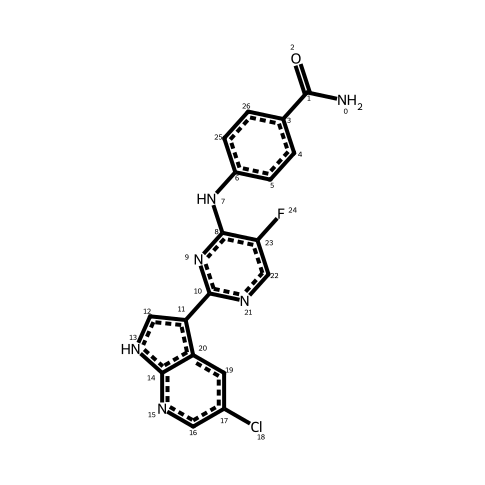 NC(=O)c1ccc(Nc2nc(-c3c[nH]c4ncc(Cl)cc34)ncc2F)cc1